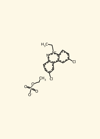 CCOS(=O)(=O)[O-].CC[n+]1nc2ccc(Cl)cc2c2cc(Cl)ccc21